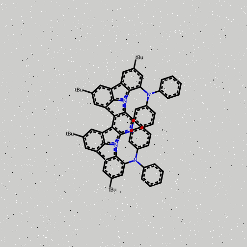 CC(C)(C)c1cc(N(c2ccccc2)c2ccccc2)c2c(c1)c1cc(C(C)(C)C)cc3c4c5c6cc(C(C)(C)C)cc7c8cc(C(C)(C)C)cc(N(c9ccccc9)c9ccccc9)c8n(c5ncc4n2c13)c76